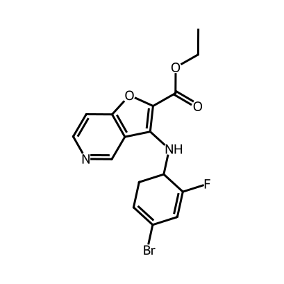 CCOC(=O)c1oc2ccncc2c1NC1CC=C(Br)C=C1F